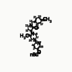 CCCCOc1ccc(N2CCN(C3CCN(Cc4ccc(C)cc4)C3=O)C(C)C2)nc1